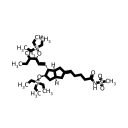 CCC(C)[C@@H](/C=C/[C@@H]1[C@H]2C/C(=C/CCCC(=O)NS(C)(=O)=O)C[C@H]2C[C@H]1O[Si](CC)(CC)CC)O[Si](CC)(CC)CC